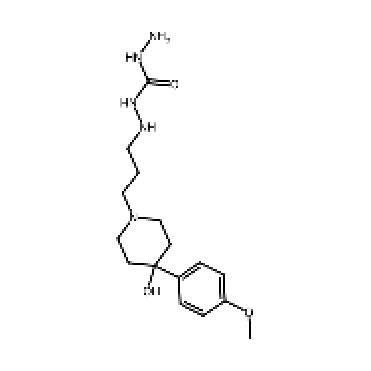 COc1ccc(C2(O)CCN(CCCNNC(=O)NN)CC2)cc1